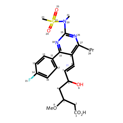 COC(CC(=O)O)CC(O)/C=C/c1c(-c2ccc(F)cc2)nc(N(C)S(C)(=O)=O)nc1C(C)C